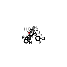 BC(B)(B)n1nc(N[C@@H]2[C@@H]3CC[C@H]2CN(c2cc(C)ncn2)C3)nc1Oc1ccc(F)c(Cl)c1